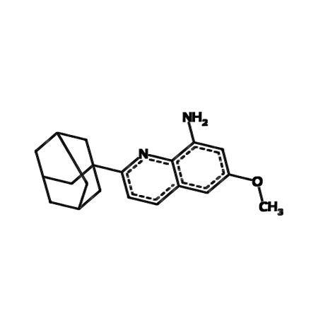 COc1cc(N)c2nc(C34CC5CC(CC(C5)C3)C4)ccc2c1